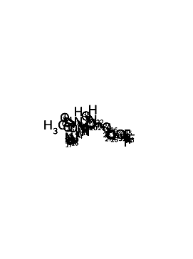 CS(=O)(=O)CC(=O)Nc1c2c(nn1CCn1cccn1)C[C@H](CCOc1cccc(OCC(F)(F)F)c1)NC2=O